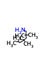 CCCC(C)(C)CC(C)(C)CN